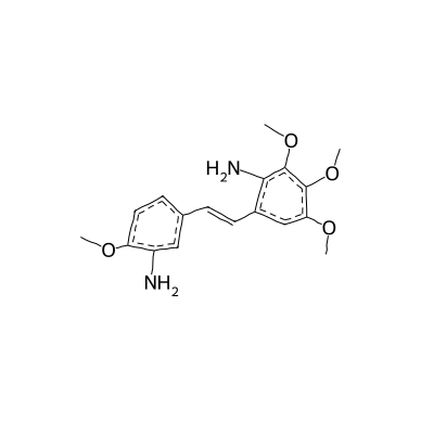 COc1ccc(C=Cc2cc(OC)c(OC)c(OC)c2N)cc1N